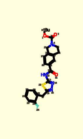 CC(C)(C)OC(=O)N1CCc2cc(C(=O)Nc3nnc(Cc4ccccc4F)s3)ccc2C1